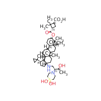 C[C@H](O)[C@H](CN[C@]12CC[C@@H](C3(C)CC3)[C@@H]1[C@H]1CC[C@@H]3[C@@]4(C)CC[C@H](OC(=O)[C@H]5C[C@@H](C(=O)O)C5(C)C)C(C)(C)[C@@H]4CC[C@@]3(C)[C@]1(C)CC2)N1CCS(O)(O)CC1